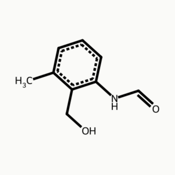 Cc1cccc(NC=O)c1CO